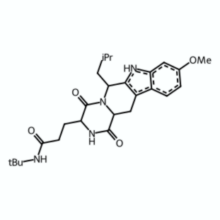 COc1ccc2c3c([nH]c2c1)C(CC(C)C)N1C(=O)C(CCC(=O)NC(C)(C)C)NC(=O)C1C3